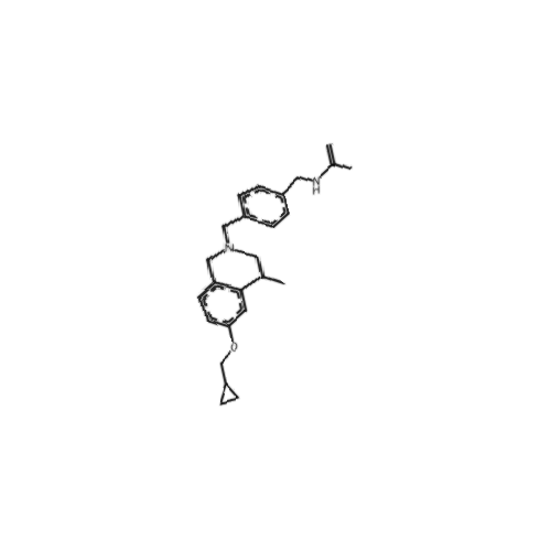 C=C(C)NCc1ccc(CN2Cc3ccc(OCC4CC4)cc3C(C)C2)cc1